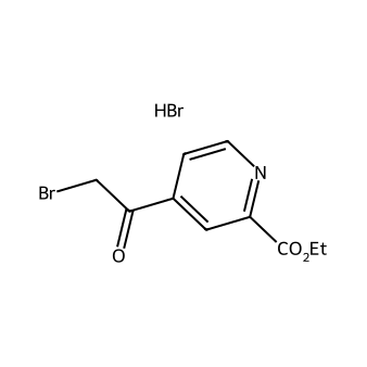 Br.CCOC(=O)c1cc(C(=O)CBr)ccn1